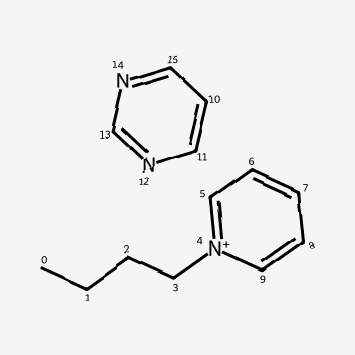 CCCC[n+]1ccccc1.c1cncnc1